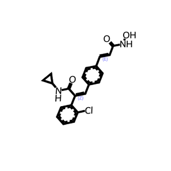 O=C(/C=C/c1ccc(/C=C(\C(=O)NC2CC2)c2ccccc2Cl)cc1)NO